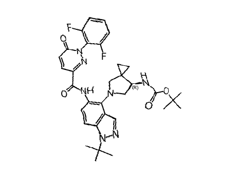 CC(C)(C)OC(=O)N[C@H]1CN(c2c(NC(=O)c3ccc(=O)n(-c4c(F)cccc4F)n3)ccc3c2cnn3C(C)(C)C)CC12CC2